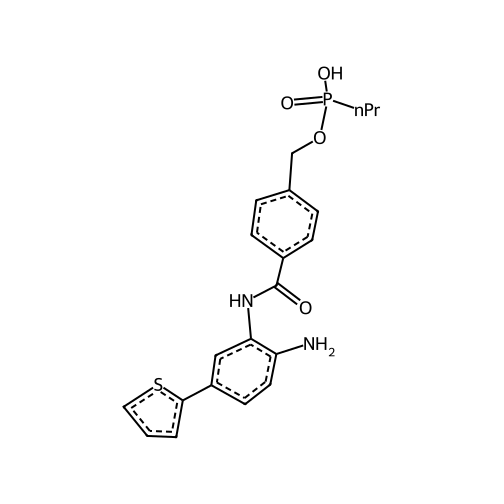 CCCP(=O)(O)OCc1ccc(C(=O)Nc2cc(-c3cccs3)ccc2N)cc1